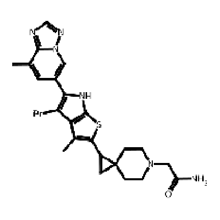 Cc1c(C2CC23CCN(CC(N)=O)CC3)sc2[nH]c(-c3cc(C)c4ncnn4c3)c(C(C)C)c12